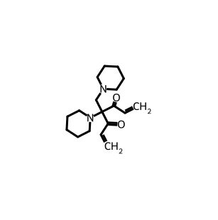 C=CC(=O)C(CN1CCCCC1)(C(=O)C=C)N1CCCCC1